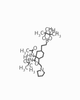 CC(=O)NC1(C(=O)NC(C)(C)C)CC(CCB2OC(C)(C)C(C)(C)O2)CCC1CCN1CCCC1